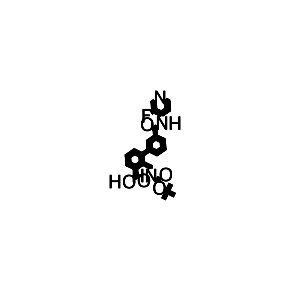 CC(C)(C)OC(=O)NCc1c(C(=O)O)cccc1-c1cccc(C(=O)Nc2ccncc2F)c1